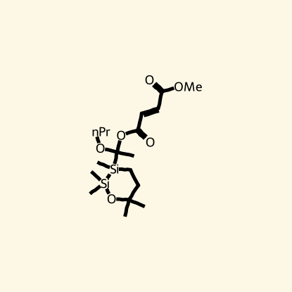 CCCOC(C)(OC(=O)C=CC(=O)OC)[Si]1(C)CCC(C)(C)O[Si]1(C)C